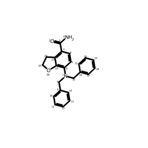 NC(=O)c1ccc(N(Cc2ccccc2)Cc2ccccc2)c2c1CCO2